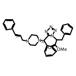 COC(=O)C(Cc1ccccc1)n1nnnc1[C@@H](c1ccccc1)N1CCN(C/C=C/c2ccccc2)CC1